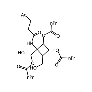 CCCC(=O)OC1[C@H](OC(=O)CCC)C(CO)C1(NC(=O)CCC(C)=O)[C@@H](O)OC(=O)CCC